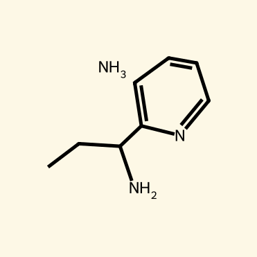 CCC(N)c1ccccn1.N